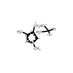 CCC(C)(Cl)Cl.Cc1nn(C)cc1C(=O)O